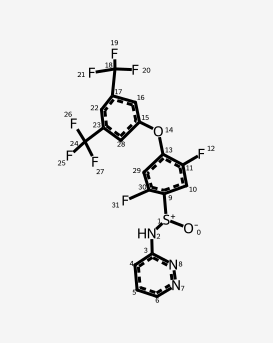 [O-][S+](Nc1cccnn1)c1cc(F)c(Oc2cc(C(F)(F)F)cc(C(F)(F)F)c2)cc1F